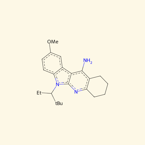 [CH2]CC(n1c2ccc(OC)cc2c2c(N)c3c(nc21)CCCC3)C(C)(C)C